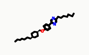 CCCCCCCc1cnc(-c2ccc(OC[C@H]3CC[C@H](CCCCCCC)CC3)cc2)cn1